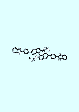 COc1ccc2cc(-c3ccc(-c4nc5ccccc5s4)cc3)ccc2c1-c1c(OC)ccc2cc(-c3ccc(-c4nc5ccccc5s4)cc3)ccc12